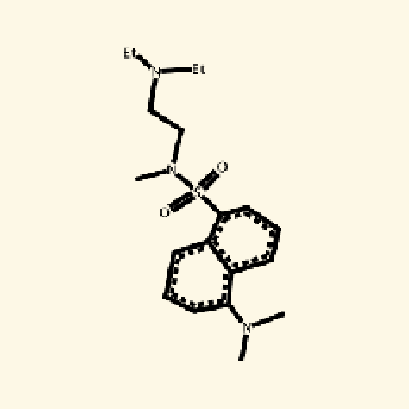 CCN(CC)CCN(C)S(=O)(=O)c1cccc2c(N(C)C)cccc12